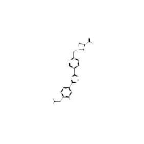 CC(C)Cc1ccc(-c2nc(-c3ccc(CN4CC(C(=O)O)C4)nc3)no2)cc1Cl